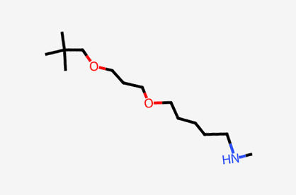 CNCCCCCOCCCOCC(C)(C)C